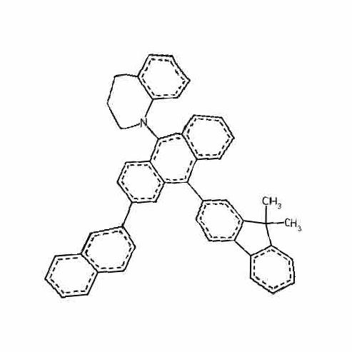 CC1(C)c2ccccc2-c2ccc(-c3c4ccccc4c(N4CCCc5ccccc54)c4ccc(-c5ccc6ccccc6c5)cc34)cc21